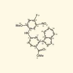 COC(=O)c1cnc(Nc2cc([N+](=O)[O-])c(F)cc2OC)nc1-n1ccc2ccccc21